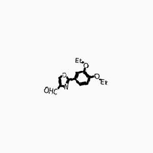 CCOc1ccc(-c2nc(C=O)co2)cc1OCC